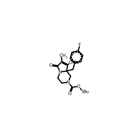 COC1=C(C)C(=O)N2CCN(C(=O)OC(C)(C)C)CC12Cc1ccc(F)cc1